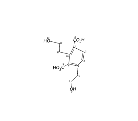 O=C(O)c1ccc(CCO)c(C(=O)O)c1CCO